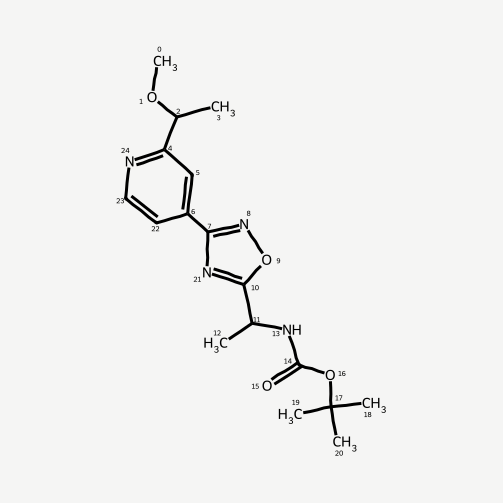 COC(C)c1cc(-c2noc(C(C)NC(=O)OC(C)(C)C)n2)ccn1